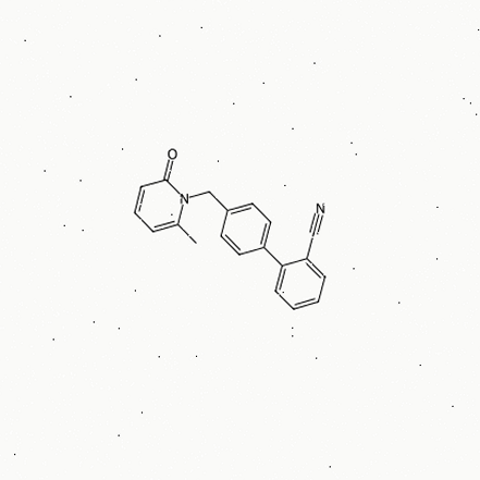 Cc1cccc(=O)n1Cc1ccc(-c2ccccc2C#N)cc1